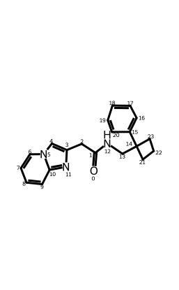 O=C(Cc1cn2ccccc2n1)NCC1(c2ccccc2)CCC1